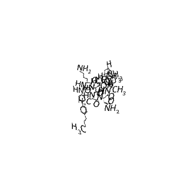 CCCCc1ccc(-c2ccc(NC(=O)N[C@@H](CCCCN)C(=O)N[C@H](C(=O)N[C@@H](C)C(=O)N[C@@H](CC(N)=O)C(=O)N[C@@H](C)B3OC4C[C@@H]5C[C@@H](C5(C)C)[C@]4(C)O3)C(C)O)cc2)cc1